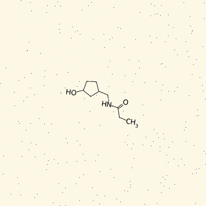 CCC(=O)NCC1CCC(O)C1